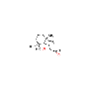 CC1(C)CCCC(C)(C)C1(O)CCC1CO1